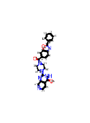 O=C(c1ccc2nc(-c3ccccc3)oc2c1)N1CCN(c2nc3cnccc3c(=O)[nH]2)CC1